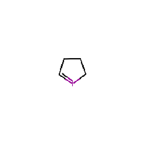 C1=ICCC1